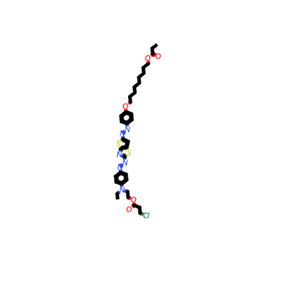 CCC(=O)OCCCCCCCCCOc1ccc(N=Nc2cc3sc(N=Nc4ccc(N(CC)CCOC(=O)CCCl)cc4)nc3s2)cc1